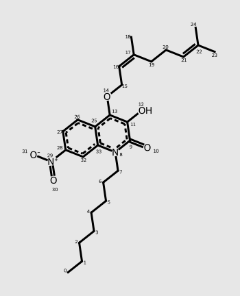 CCCCCCCCn1c(=O)c(O)c(OCC=C(C)CCC=C(C)C)c2ccc([N+](=O)[O-])cc21